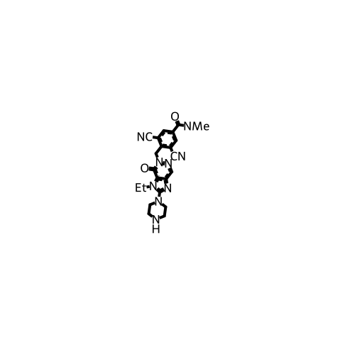 CCn1c(N2CCNCC2)nc2cnn(Cc3c(C#N)cc(C(=O)NC)cc3C#N)c(=O)c21